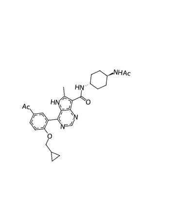 CC(=O)N[C@H]1CC[C@H](NC(=O)c2c(C)[nH]c3c(-c4cc(C(C)=O)ccc4OCC4CC4)ncnc23)CC1